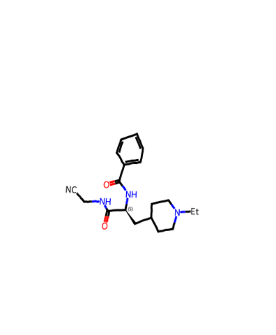 CCN1CCC(C[C@H](NC(=O)c2ccccc2)C(=O)NCC#N)CC1